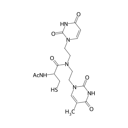 CC(=O)NC(CS)C(=O)N(CCn1ccc(=O)[nH]c1=O)CCn1cc(C)c(=O)[nH]c1=O